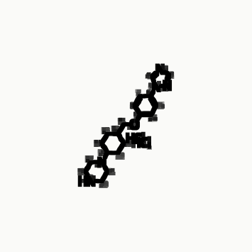 Cl.Cl.c1ncn(-c2ccc(OCC3CCC(N4CCNCC4)CC3)cc2)n1